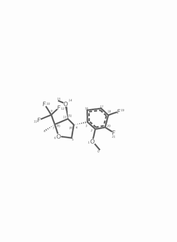 COc1c([C@@H]2CO[C@@](C)(C(F)(F)F)[C@H]2OC)ccc(F)c1F